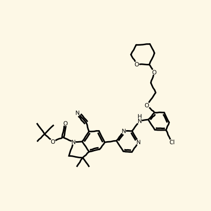 CC(C)(C)OC(=O)N1CC(C)(C)c2cc(-c3ccnc(Nc4cc(Cl)ccc4OCCOC4CCCCO4)n3)cc(C#N)c21